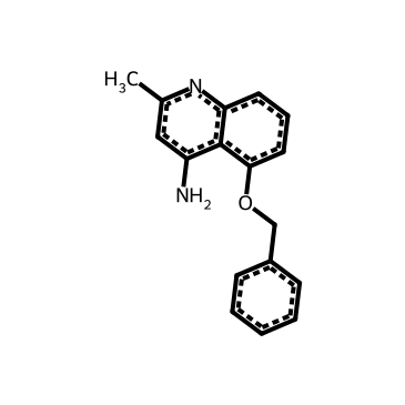 Cc1cc(N)c2c(OCc3ccccc3)cccc2n1